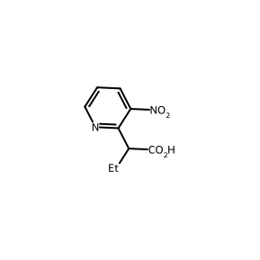 CCC(C(=O)O)c1ncccc1[N+](=O)[O-]